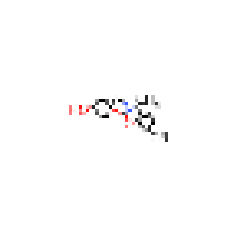 C[C@@H](c1ccc(C#N)cc1)N1CCC2(CCC(O)CC2)OC1=O